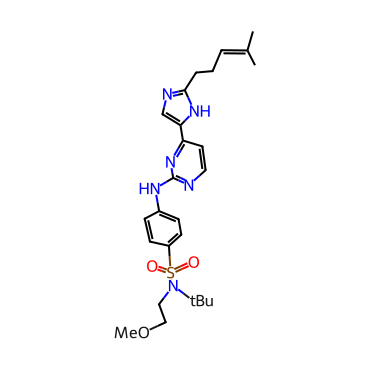 COCCN(C(C)(C)C)S(=O)(=O)c1ccc(Nc2nccc(-c3cnc(CCC=C(C)C)[nH]3)n2)cc1